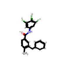 Cc1ccc(C(=O)Nc2cc(F)c(F)c(F)c2)cc1CC1CCCCC1